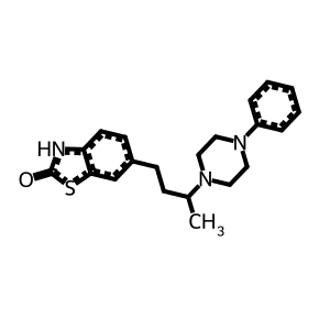 CC(CCc1ccc2[nH]c(=O)sc2c1)N1CCN(c2ccccc2)CC1